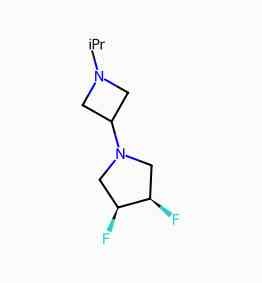 CC(C)N1CC(N2C[C@@H](F)[C@@H](F)C2)C1